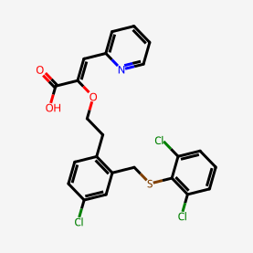 O=C(O)C(=Cc1ccccn1)OCCc1ccc(Cl)cc1CSc1c(Cl)cccc1Cl